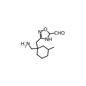 CC1CCCC(CN)(CC2=NOC(C=O)N2)C1